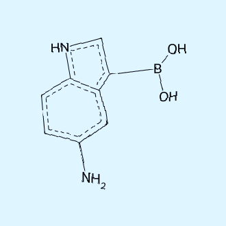 Nc1ccc2[nH]cc(B(O)O)c2c1